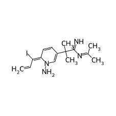 C=C/C(I)=C1/C=CC(C(C)(C)C(=N)N=C(C)C)=CN1N